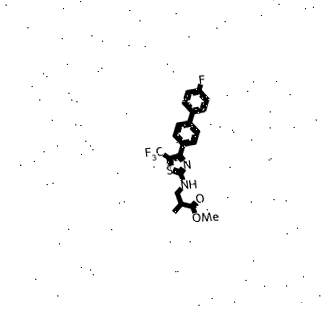 COC(=O)C(C)CNc1nc(-c2ccc(-c3ccc(F)cc3)cc2)c(C(F)(F)F)s1